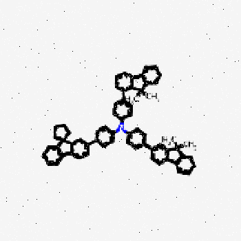 CC1(C)c2ccccc2-c2ccc(-c3ccc(N(c4ccc(-c5ccc6c(c5)C5(CCCC5)c5ccccc5-6)cc4)c4ccc(-c5cccc6c5C(C)(C)c5ccccc5-6)cc4)cc3)cc21